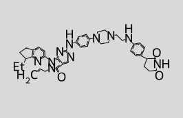 C=CCn1c(=O)c2cnc(Nc3ccc(N4CCN(CCNc5ccc(C6CCC(=O)NC6=O)cc5)CC4)cc3)nc2n1-c1ccc2c(n1)C(CC)CC2